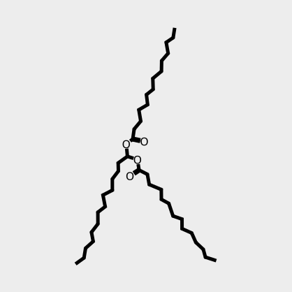 CCCCCCCCCCCCCC(=O)OC(CCCCCCCCCCCCC)OC(=O)CCCCCCCCCCCCC